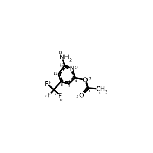 CC(=O)Oc1cc(C(F)(F)F)cc(N)n1